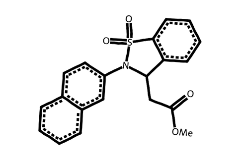 COC(=O)CC1c2ccccc2S(=O)(=O)N1c1ccc2ccccc2c1